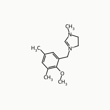 COc1c(C)cc(C)cc1C[N+]1=CN(C)CC1